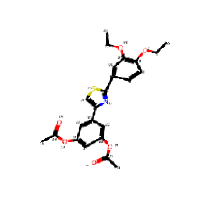 CCOc1ccc(-c2nc(-c3cc(OC(C)=O)cc(OC(C)=O)c3)cs2)cc1OCC